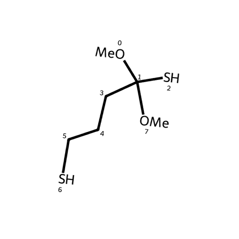 COC(S)(CCCS)OC